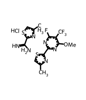 COc1nc(-c2nc(C)cs2)nc(F)c1C(F)(F)F.Cc1csc(C(=N)N)n1.Cl